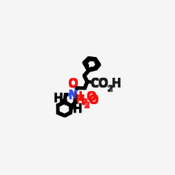 O.O.O=C(O)C(CC(=O)N1C[C@H]2CCCC[C@H]2C1)Cc1ccccc1